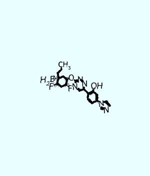 B[C@]1(CCC)C[C@@H](Oc2ncc(-c3ccc(-n4ccnc4)cc3O)nn2)[C@H](F)C[C@H]1F